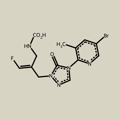 Cc1cc(Br)cnc1-n1cnn(C/C(=C/F)CNC(=O)O)c1=O